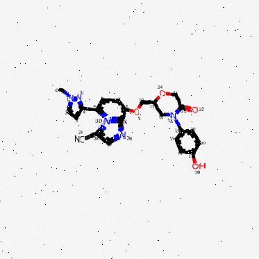 Cn1ccc(-c2ccc(OCC3CN(c4ccc(O)cc4)C(=O)CO3)c3ncc(C#N)n23)n1